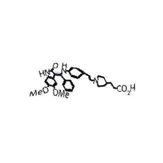 COc1cc2c(cc1OC)/C(=C(/Nc1ccc(CCN3CCC(CCC(=O)O)CC3)cc1)c1ccccc1)C(=O)N2